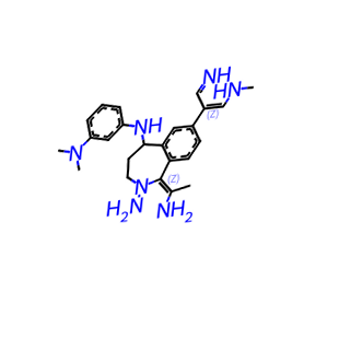 CN/C=C(\C=N)c1ccc2c(c1)C(Nc1cccc(N(C)C)c1)CCN(N)/C2=C(/C)N